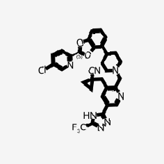 N#CC1(Cc2cc(-c3nnc(C(F)(F)F)[nH]3)cnc2CN2CCC(c3cccc4c3O[C@@H](c3ccc(Cl)cn3)O4)CC2)CC1